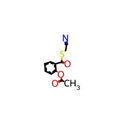 CC(=O)Oc1ccccc1C(=O)SCC#N